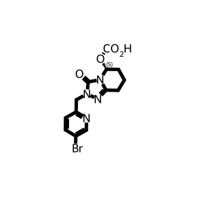 O=C(O)O[C@H]1CCCc2nn(Cc3ccc(Br)cn3)c(=O)n21